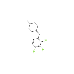 CC1CCC(=Cc2ccc(F)c(F)c2F)CC1